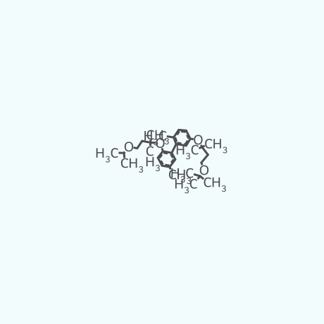 Cc1ccc(OC(C)(C)CCOC(C)C)c(-c2cc(OC(C)(C)CCOC(C)(C)C)ccc2C)c1